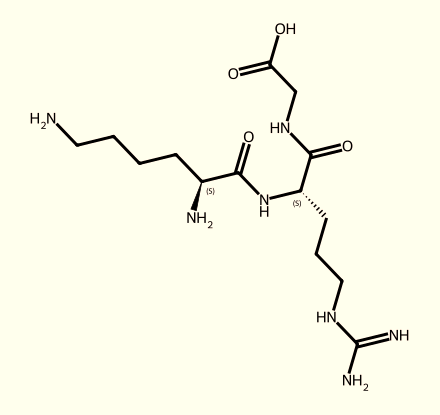 N=C(N)NCCC[C@H](NC(=O)[C@@H](N)CCCCN)C(=O)NCC(=O)O